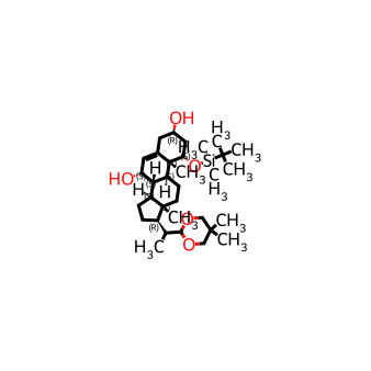 CC(C1OCC(C)(C)CO1)[C@H]1CC[C@H]2[C@@H]3[C@H](O)C=C4C[C@@H](O)C[C@H](O[Si](C)(C)C(C)(C)C)[C@]4(C)[C@H]3CC[C@]12C